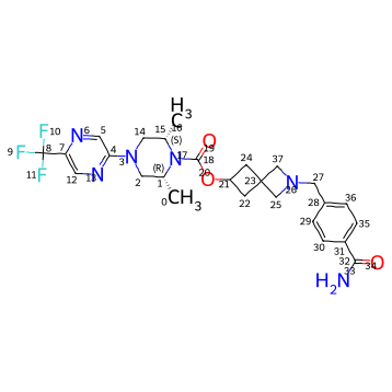 C[C@@H]1CN(c2cnc(C(F)(F)F)cn2)C[C@H](C)N1C(=O)OC1CC2(C1)CN(Cc1ccc(C(N)=O)cc1)C2